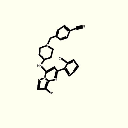 N#Cc1ccc(CN2CCC(Nc3cc(-c4ccccc4Cl)nc4c(Br)cnn34)CC2)cc1